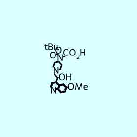 COc1ccc2nccc([C@@H](O)CN3CCC(N(CC(=O)O)C(=O)OC(C)(C)C)CC3)c2c1